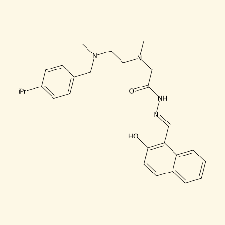 CC(C)c1ccc(CN(C)CCN(C)CC(=O)N/N=C/c2c(O)ccc3ccccc23)cc1